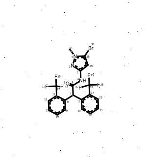 Cn1nc(NC(=O)C(c2ccccc2C(F)(F)F)c2ccccc2C(F)(F)F)cc1Br